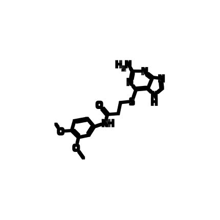 COc1ccc(NC(=O)CCSc2nc(N)nc3nc[nH]c23)cc1OC